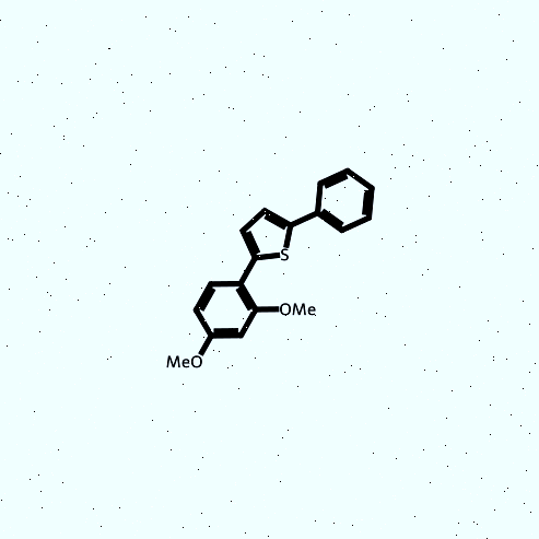 COc1ccc(-c2ccc(-c3ccccc3)s2)c(OC)c1